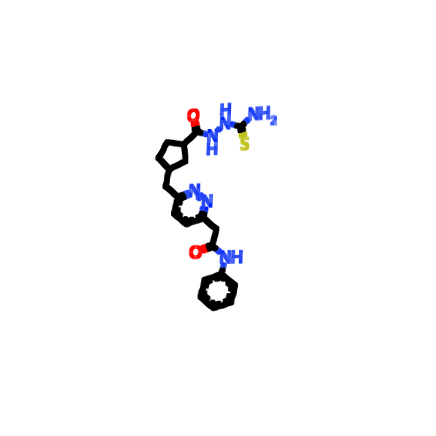 NC(=S)NNC(=O)C1CCC(Cc2ccc(CC(=O)Nc3ccccc3)nn2)C1